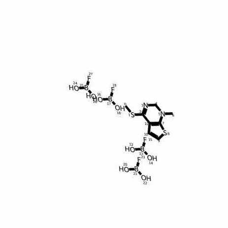 CSC1=NCN(C)c2sccc21.OB(O)F.OB(O)F.OB(O)F.OB(O)F